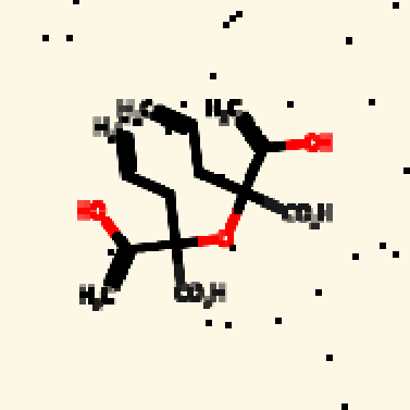 C=CCC(OC(CC=C)(C(=C)O)C(=O)O)(C(=C)O)C(=O)O